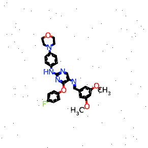 COc1cc(/C=N/c2cnc(Nc3ccc(N4CCOCC4)cc3)nc2Oc2ccc(F)cc2)cc(OC)c1